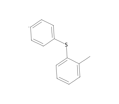 Cc1ccccc1Sc1cc[c]cc1